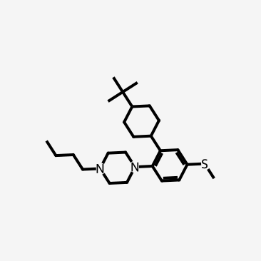 CCCCN1CCN(c2ccc(SC)cc2C2CCC(C(C)(C)C)CC2)CC1